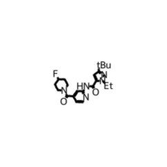 CCn1nc(C(C)(C)C)cc1C(=O)Nc1cc(C(=O)N2CCC(F)CC2)ccn1